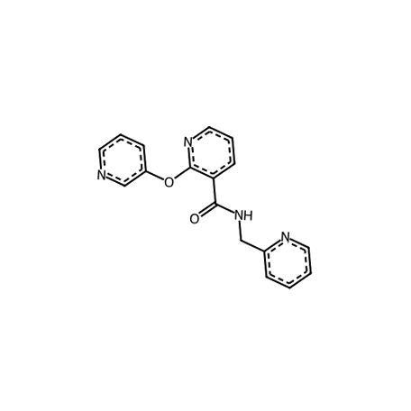 O=C(NCc1ccccn1)c1cccnc1Oc1cccnc1